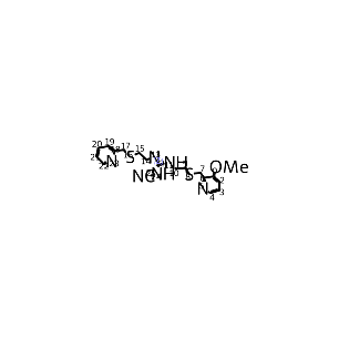 COc1cccnc1CSCCN/C(=N/CCSCc1ccccn1)NC#N